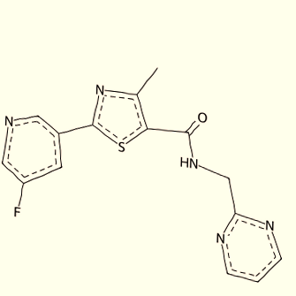 Cc1nc(-c2cncc(F)c2)sc1C(=O)NCc1ncccn1